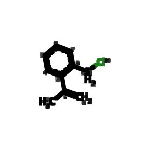 C=C(C)c1ccccc1[SiH2]Cl